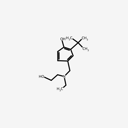 CCN(CCO)Cc1ccc(O)c(C(C)(C)C)c1